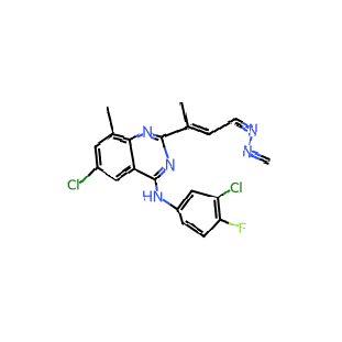 C=N/N=C\C=C(/C)c1nc(Nc2ccc(F)c(Cl)c2)c2cc(Cl)cc(C)c2n1